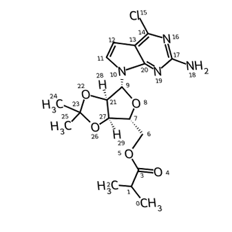 CC(C)C(=O)OC[C@H]1O[C@@H](n2ccc3c(Cl)nc(N)nc32)[C@@H]2OC(C)(C)O[C@@H]21